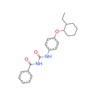 CCC1CCCCC1Oc1ccc(NC(=O)NC(=O)c2ccccc2)cc1